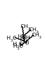 CCCCCCCCCC(=O)N(CCCN(C)C)C(CCCCCCCCC)CC(=O)NNC(CCCCCCCC)CCCCCCCC